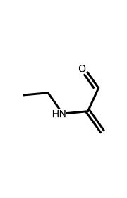 C=C(C=O)NCC